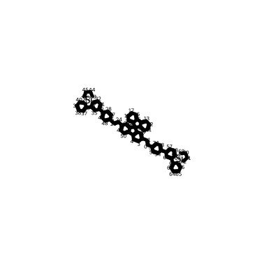 C(=C\c1ccc2c(c1)C1(c3ccccc3-c3ccccc31)c1cc(/C=C/c3ccc(-c4ccc5c(c4)-c4ccccc4[Si]54CCCC4)cc3)ccc1-2)/c1ccc(-c2ccc3c(c2)-c2ccccc2[Si]32CCCC2)cc1